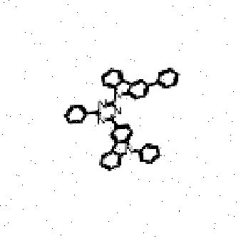 c1ccc(-c2ccc3c(c2)c2ccccc2n3-c2nc(-c3ccccc3)nc(-c3ccc4c(c3)c3ccccc3n4-c3ccccc3)n2)cc1